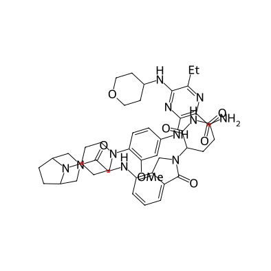 CCc1nc(C(N)=O)c(Nc2ccc(N3CCC(N4C5CCC4CN(C(=O)CNc4cccc6c4CN(C4CCC(=O)NC4=O)C6=O)C5)CC3)c(OC)c2)nc1NC1CCOCC1